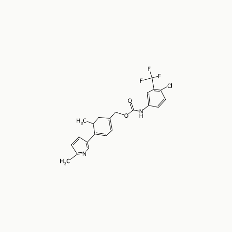 Cc1ccc(C2=CC=C(COC(=O)Nc3ccc(Cl)c(C(F)(F)F)c3)CC2C)cn1